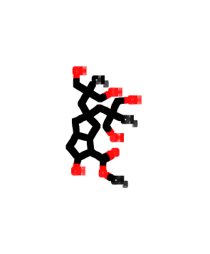 COC(=O)C1C(O)CC2CC(CC(C)(CO)CO)(CC(C)(CO)CO)CC21